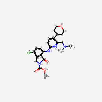 CN(C)Cc1nc(Nc2ccc(Cl)c3c2C(=O)N(C(=O)OC(C)(C)C)C3)ccc1C1CCOCC1